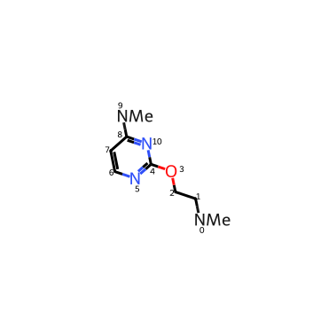 CNCCOc1nccc(NC)n1